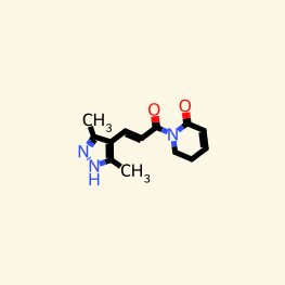 Cc1n[nH]c(C)c1/C=C/C(=O)N1CCC=CC1=O